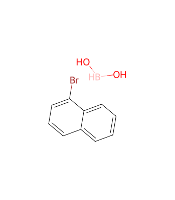 Brc1cccc2ccccc12.OBO